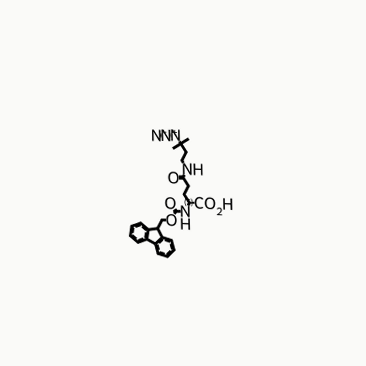 CC(C)(CCNC(=O)CC[C@H](NC(=O)OCC1c2ccccc2-c2ccccc21)C(=O)O)N=[N+]=[N-]